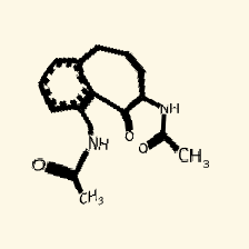 CC(=O)Nc1cccc2c1C(=O)C(NC(C)=O)CCC2